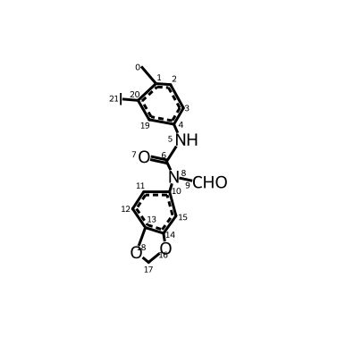 Cc1ccc(NC(=O)N(C=O)c2ccc3c(c2)OCO3)cc1I